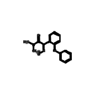 CN(C)C(=O)C(=NO)c1ccccc1Oc1ccccc1